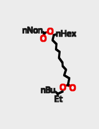 CCCCCCCCCC(=O)OC(CCCCCC)CCCCCCCCCCC(=O)OCC(CC)CCCC